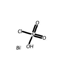 O=S(=O)(O)Cl.[Bi]